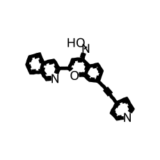 ON=c1cc(-c2cc3ccccc3cn2)oc2cc(C#Cc3ccncc3)ccc12